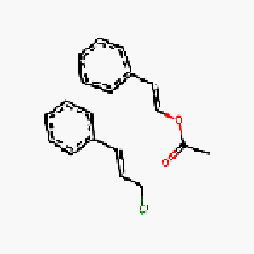 CC(=O)OC=Cc1ccccc1.ClCC=Cc1ccccc1